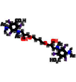 CC(=O)N(C)c1c(I)c(C(=O)O)c(I)c(N(CC(O)COCCCCOCC(O)CN(C(C)=O)c2c(I)c(C(=O)O)c(I)c(N(C)C(C)=O)c2I)C(C)=O)c1I